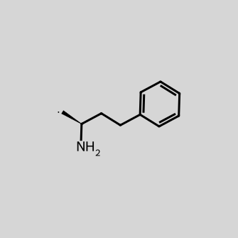 [CH2][C@H](N)CCc1ccccc1